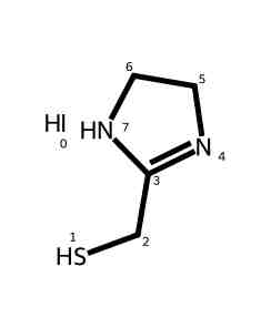 I.SCC1=NCCN1